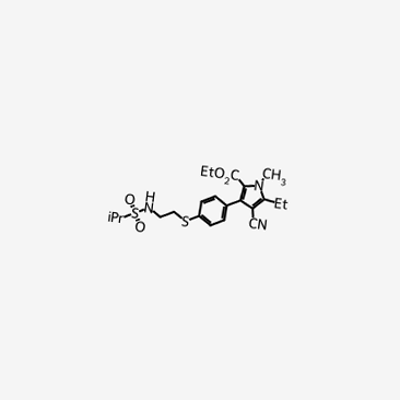 CCOC(=O)c1c(-c2ccc(SCCNS(=O)(=O)C(C)C)cc2)c(C#N)c(CC)n1C